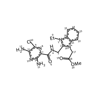 CCn1c(CNC(=O)c2nc(Cl)c(N)nc2N)[n+](CC(=O)OC)c2ccccc21